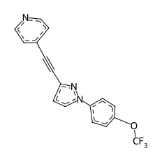 FC(F)(F)Oc1ccc(-n2ccc(C#Cc3ccncc3)n2)cc1